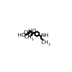 C[CH]CC(=N)C1CCC(O)(c2ccc(C(C)(C)O)nc2)CC1